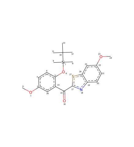 COc1ccc(O[Si](C)(C)C(C)(C)C)c(C(=O)c2nc3ccc(OC)cc3s2)c1